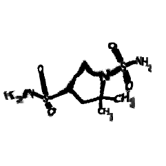 CC1(C)CC(S(N)(=O)=O)CCN1S(N)(=O)=O